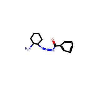 NC1CCCCC1N=[N+]=NC(=O)c1ccccc1